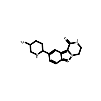 CC1CCC(c2ccc3nn4c(c3c2)C(=O)NCC4)NC1